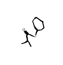 C[C](C)C(=O)OC1CCCC1